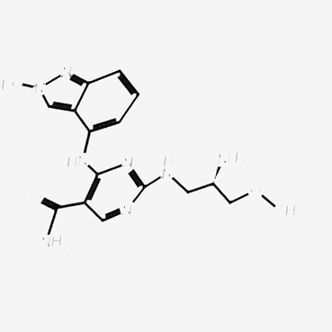 COC[C@H](N)CNc1ncc(C(N)=O)c(Nc2cccc3nn(C)cc23)n1